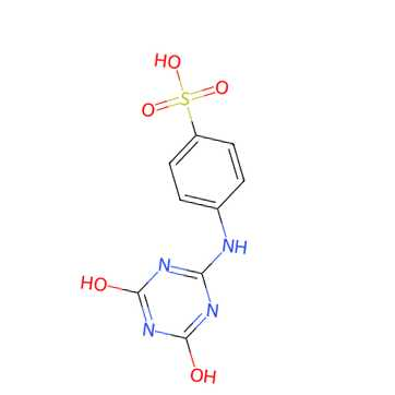 O=S(=O)(O)c1ccc(Nc2nc(O)nc(O)n2)cc1